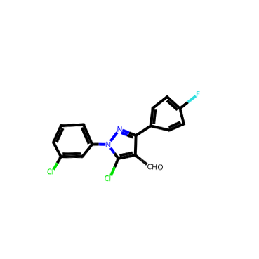 O=Cc1c(-c2ccc(F)cc2)nn(-c2cccc(Cl)c2)c1Cl